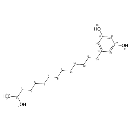 CC(O)CCCCCCCCCCCCc1cc(O)cc(O)c1